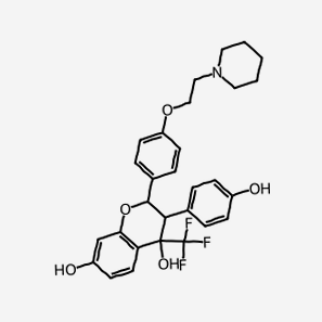 Oc1ccc(C2C(c3ccc(OCCN4CCCCC4)cc3)Oc3cc(O)ccc3C2(O)C(F)(F)F)cc1